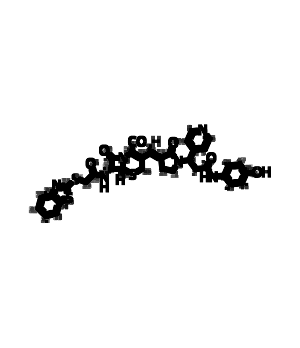 O=C(CC(c1ccncc1)N1CCC(=CC2=C(C(=O)O)N3C(=O)[C@@H](NC(=O)CSc4nc5ccccc5s4)[C@H]3SC2)C1=O)Nc1ccc(O)cc1